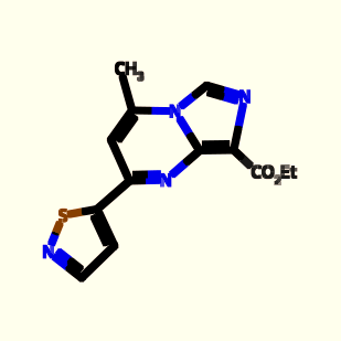 CCOC(=O)c1ncn2c(C)cc(-c3ccns3)nc12